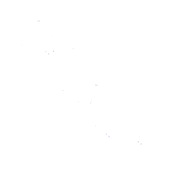 O=S(=O)(c1ccc(-c2cnc3c(c2)CCN3)cc1)N1CCOCC1